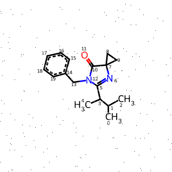 CC(C)C(C)C1=NC2(CC2)C(=O)N1Cc1ccccc1